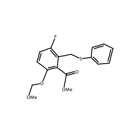 COCOc1ccc(F)c(CSc2ccccc2)c1C(=O)OC